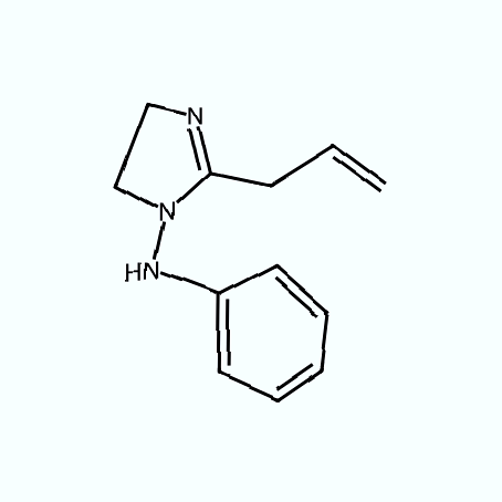 C=CCC1=NCCN1Nc1ccccc1